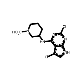 O=C(O)N1CCCC(Nc2nc(Cl)nc3[nH]cc(Cl)c23)C1